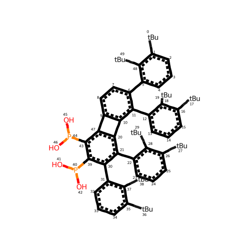 CC(C)(C)c1cccc(-c2ccc3c(c2-c2cccc(C(C)(C)C)c2C(C)(C)C)-c2c(-c4cccc(C(C)(C)C)c4C(C)(C)C)c(-c4cccc(C(C)(C)C)c4C(C)(C)C)c(P(O)O)c(P(O)O)c2-3)c1C(C)(C)C